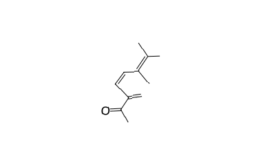 C=C(/C=C\C(C)=C(C)C)C(C)=O